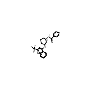 O=C(N[C@@H]1CCC[C@H](Nc2cc(C(F)(F)F)nc3ccccc23)C1)c1ccccc1